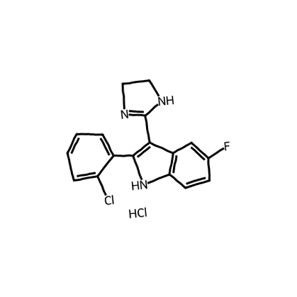 Cl.Fc1ccc2[nH]c(-c3ccccc3Cl)c(C3=NCCN3)c2c1